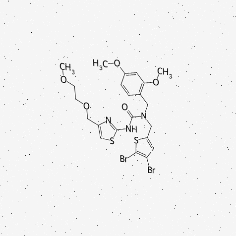 COCCOCc1csc(NC(=O)N(Cc2cc(Br)c(Br)s2)Cc2ccc(OC)cc2OC)n1